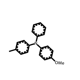 COc1ccc(N(c2ccccc2)c2ccc(C)cc2)cc1